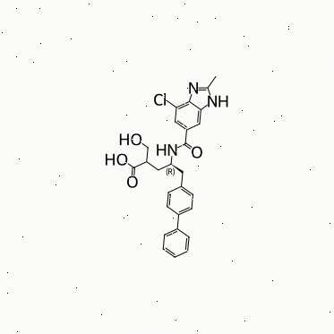 Cc1nc2c(Cl)cc(C(=O)N[C@@H](Cc3ccc(-c4ccccc4)cc3)CC(CO)C(=O)O)cc2[nH]1